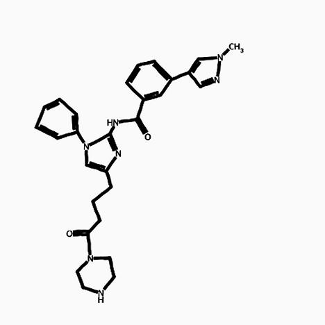 Cn1cc(-c2cccc(C(=O)Nc3nc(CCCC(=O)N4CCNCC4)cn3-c3ccccc3)c2)cn1